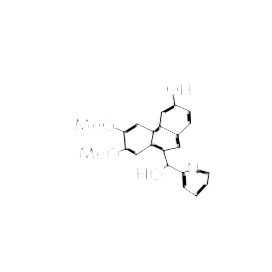 COc1cc2c(C(O)c3ccccn3)cc3ccc(O)cc3c2cc1OC